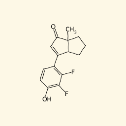 CC12CCCC1C(c1ccc(O)c(F)c1F)=CC2=O